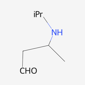 CC(C)NC(C)CC=O